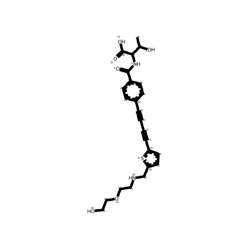 CC(O)C(NC(=O)c1ccc(C#CC#Cc2ccc(CNCCOCCO)s2)cc1)C(=O)O